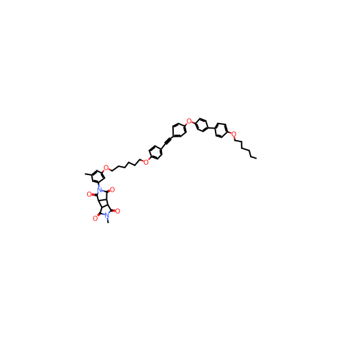 CCCCCCOc1ccc(-c2ccc(Oc3ccc(C#Cc4ccc(OCCCCCCOc5cc(C)cc(N6C(=O)C7C8C(=O)N(C)C(=O)C8C7C6=O)c5)cc4)cc3)cc2)cc1